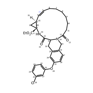 CCOC(=O)[C@@]12C[C@H]1/C=C\CCCCCCC(=O)N1Cc3ccc(Oc4cccc(Cl)c4)cc3CC1C(=O)N2